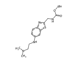 CN(C)CCNc1ccc2nc(CNC(=O)OC(C)(C)C)sc2c1